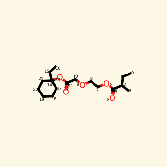 CCC(C)C(=O)OCCOCC(=O)OC1(CC)CCCCC1